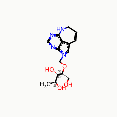 C[C@H](O)[C@H](O)[C@@H](CO)OCn1cc2c3c(ncnc31)NCC=C2